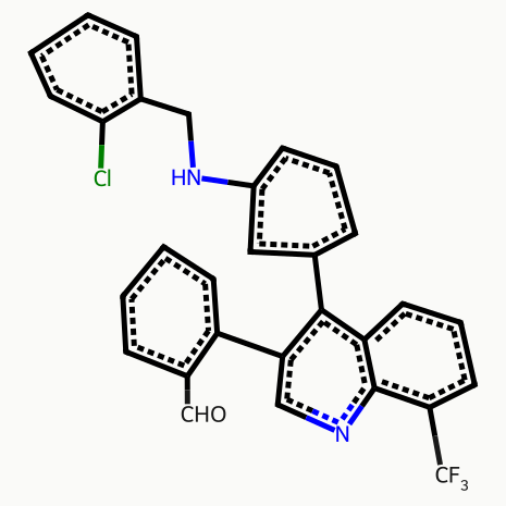 O=Cc1ccccc1-c1cnc2c(C(F)(F)F)cccc2c1-c1cccc(NCc2ccccc2Cl)c1